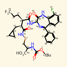 CC(C)(C)OC(=O)NC(CSNC(=O)[C@@H](CC1CC1)[C@@H](CCC(F)(F)F)C(=O)NC1N=C(c2ccccc2)c2cccc(F)c2NC1=O)C(=O)O